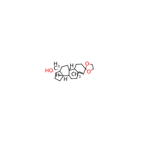 C[C@]12CC[C@H]3[C@@H](CCC4=CC5(CC[C@@]43C)OCCO5)[C@@H]1CC[C@@H]2O